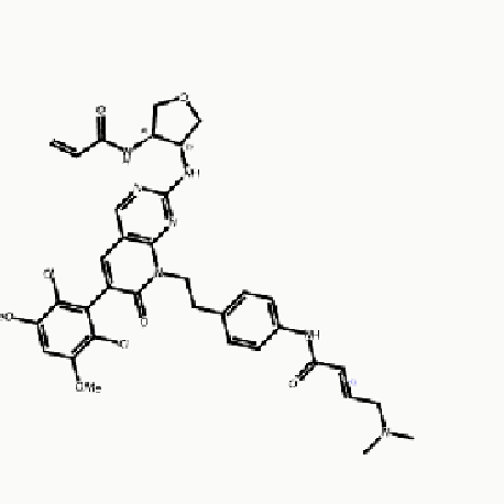 C=CC(=O)N[C@H]1COC[C@H]1Nc1ncc2cc(-c3c(Cl)c(OC)cc(OC)c3Cl)c(=O)n(CCc3ccc(NC(=O)/C=C/CN(C)C)cc3)c2n1